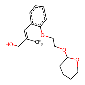 OC/C(=C/c1ccccc1OCCOC1CCCCO1)C(F)(F)F